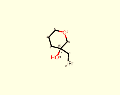 CC(C)C[C@]1(O)CCCOC1